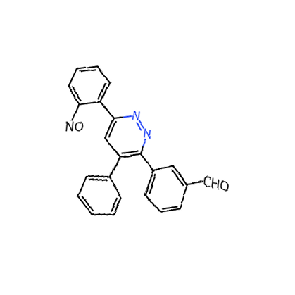 O=Cc1cccc(-c2nnc(-c3ccccc3N=O)cc2-c2ccccc2)c1